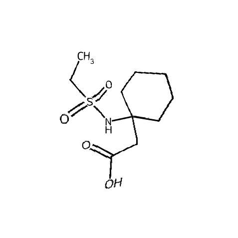 CCS(=O)(=O)NC1(CC(=O)O)CCCCC1